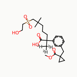 [2H]C([2H])([2H])C(CCCC(C)(C)CS(=O)(=O)CCO)(C(=O)O)c1cccc(CC2(C(=O)OC)CC2)c1